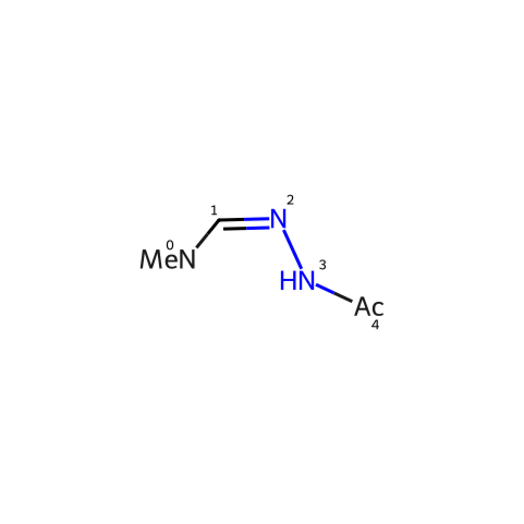 CN/C=N\NC(C)=O